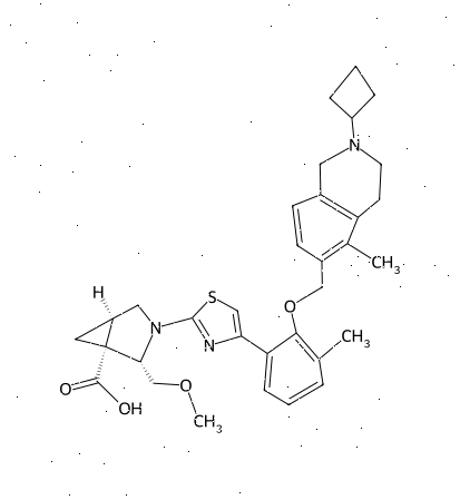 COC[C@H]1N(c2nc(-c3cccc(C)c3OCc3ccc4c(c3C)CCN(C3CCC3)C4)cs2)C[C@@H]2C[C@@]21C(=O)O